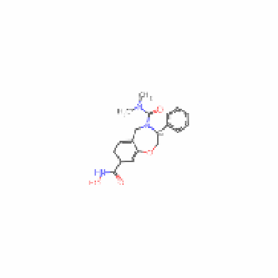 CN(C)C(=O)N1CC2=CCC(C(=O)NO)C=C2OC[C@@H]1c1ccccc1